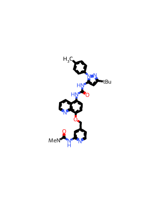 CNC(=O)Nc1cc(COc2ccc(NC(=O)Nc3cc(C(C)(C)C)nn3-c3ccc(C)cc3)c3cccnc23)ccn1